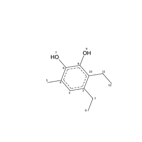 CCc1cc(C)c(O)c(O)c1CC